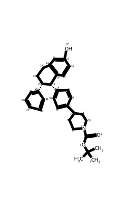 CC(C)(C)OC(=O)N1CCC(c2ccc([C@H]3c4ccc(O)cc4CC[C@H]3c3ccccc3)cc2)CC1